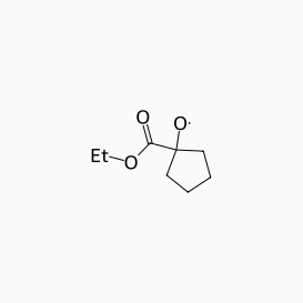 CCOC(=O)C1([O])CCCC1